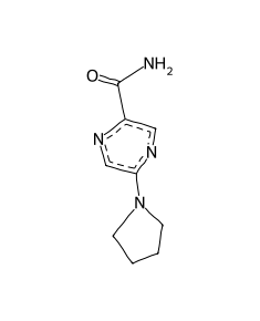 NC(=O)c1cnc(N2CCCC2)cn1